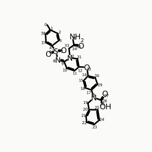 Cc1ccc(S(=O)(=O)N=c2ccc(Oc3ccc(N(Cc4ccccc4)C(=O)O)cc3)cn2CC(N)=O)cc1